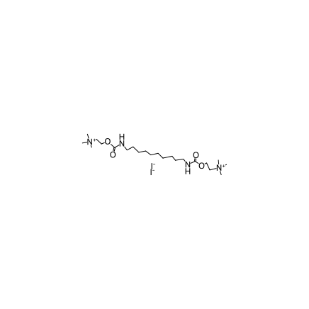 C[N+](C)(C)CCOC(=O)NCCCCCCCCCCNC(=O)OCC[N+](C)(C)C.[I-].[I-]